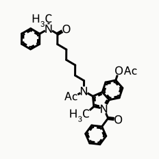 CC(=O)Oc1ccc2c(c1)c(N(CCCCCCC(=O)N(C)c1ccccc1)C(C)=O)c(C)n2C(=O)c1ccccc1